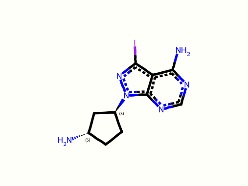 Nc1ncnc2c1c(I)nn2[C@H]1CC[C@H](N)C1